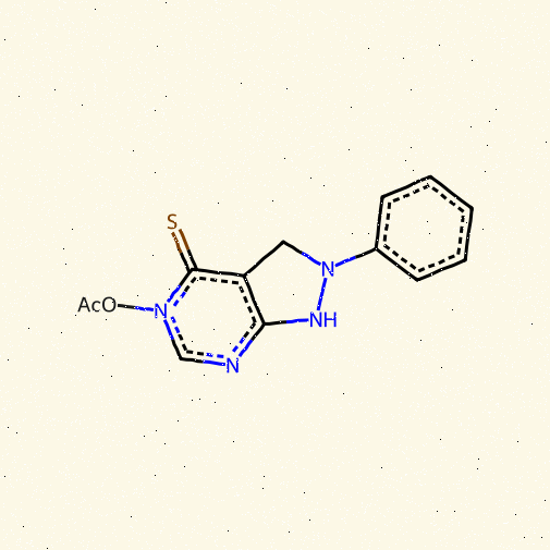 CC(=O)On1cnc2c(c1=S)CN(c1ccccc1)N2